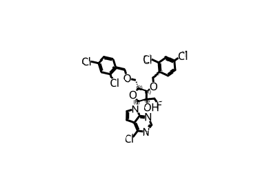 O[C@]1(CF)[C@H](OCc2ccc(Cl)cc2Cl)[C@@H](COCc2ccc(Cl)cc2Cl)O[C@H]1n1ccc2c(Cl)ncnc21